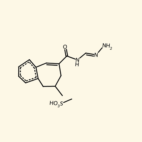 CC1CC(C(=O)NC=NN)=Cc2ccccc2C1.CS(=O)(=O)O